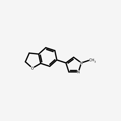 Cn1cc(-c2ccc3c(c2)OCC3)cn1